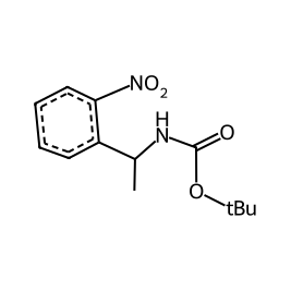 CC(NC(=O)OC(C)(C)C)c1ccccc1[N+](=O)[O-]